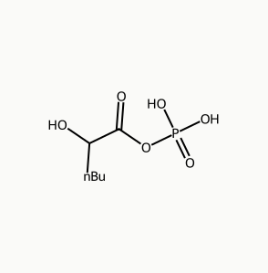 CCCCC(O)C(=O)OP(=O)(O)O